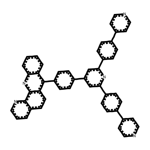 c1cnc2c(c1)ccc1c(-c3ccc(-c4cc(-c5ccc(-c6ccncc6)cc5)nc(-c5ccc(-c6ccncc6)cc5)c4)cc3)c3ccccc3nc12